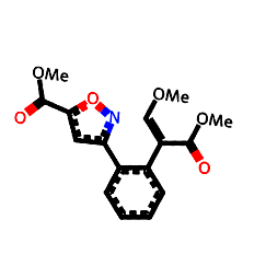 COC=C(C(=O)OC)c1ccccc1-c1cc(C(=O)OC)on1